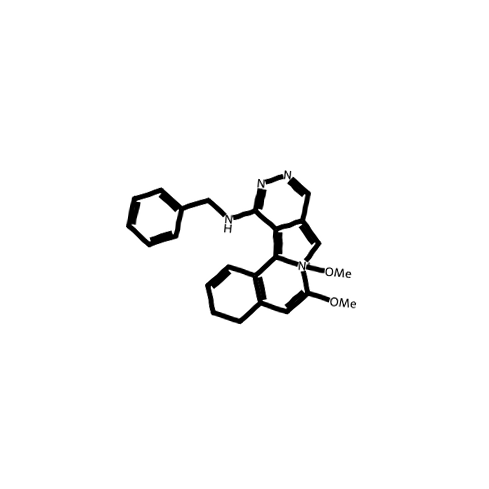 COC1=CC2=C(C=CCC2)C2=c3c(NCc4ccccc4)nncc3=C[N+]12OC